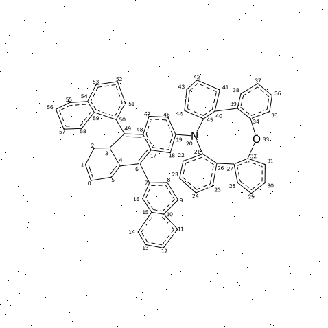 C1=CCC2C(=C1)C(c1ccc3ccccc3c1)=c1cc(N3c4ccccc4-c4ccccc4Oc4ccccc4-c4ccccc43)ccc1=C2c1cccc2ccccc12